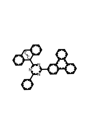 c1ccc(-c2nc(-c3ccc4c5ccccc5c5ccccc5c4c3)nc(C34CCC(c5ccccc53)c3ccccc34)n2)cc1